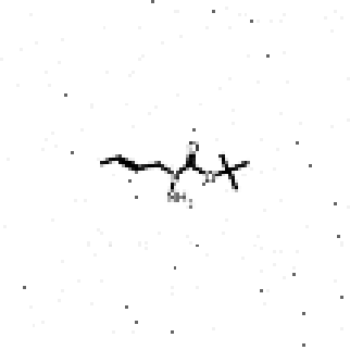 CC=CCN(N)C(=O)OC(C)(C)C